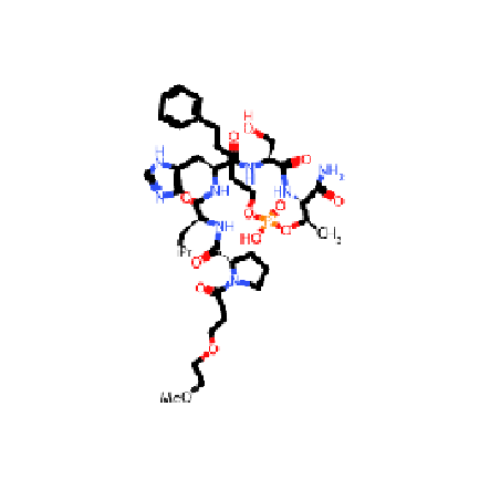 COCCOCCC(=O)N1CCC[C@H]1C(=O)N[C@@H](CC(C)C)C(=O)N[C@@H](Cc1cnc[nH]1)C(=O)N[C@@H](CO)C(=O)N[C@H](C(N)=O)[C@@H](C)OP(=O)(O)OCCCCCc1ccccc1